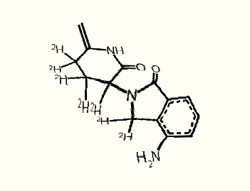 [2H]C1([2H])c2c(N)cccc2C(=O)N1C1([2H])C(=O)NC(=C)C([2H])([2H])C1([2H])[2H]